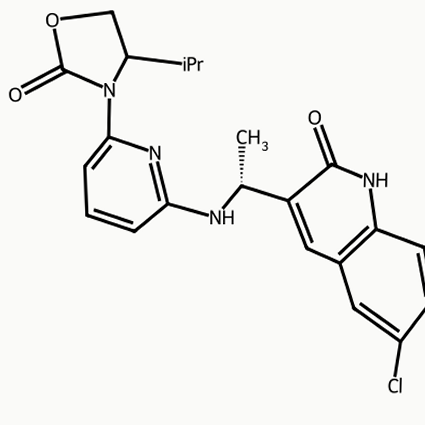 CC(C)C1COC(=O)N1c1cccc(N[C@H](C)c2cc3cc(Cl)ccc3[nH]c2=O)n1